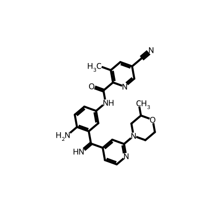 Cc1cc(C#N)cnc1C(=O)Nc1ccc(N)c(C(=N)c2ccnc(N3CCOC(C)C3)c2)c1